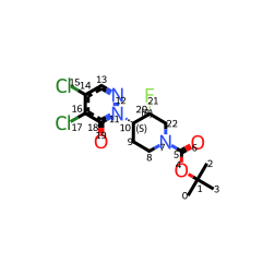 CC(C)(C)OC(=O)N1CC[C@H](n2ncc(Cl)c(Cl)c2=O)[C@H](F)C1